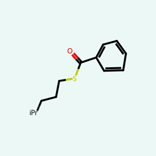 CC(C)CCCSC(=O)c1ccccc1